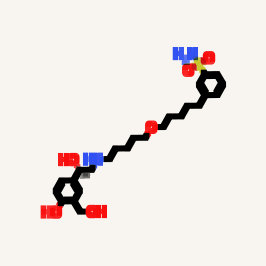 NS(=O)(=O)c1cccc(CCCCCOCCCCCNC[C@@H](O)c2ccc(O)c(CO)c2)c1